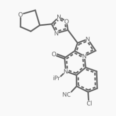 CC(C)n1c(=O)c2c(-c3nc(C4CCOC4)no3)ncn2c2ccc(Cl)c(C#N)c21